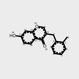 Cc1ccccc1Cc1coc2cc(O)ccc2c1=O